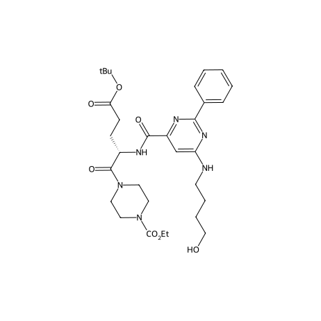 CCOC(=O)N1CCN(C(=O)[C@H](CCC(=O)OC(C)(C)C)NC(=O)c2cc(NCCCCO)nc(-c3ccccc3)n2)CC1